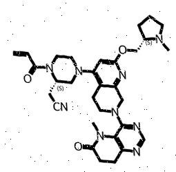 C=CC(=O)N1CCN(c2cc(OC[C@@H]3CCCN3C)nc3c2CCN(c2ncnc4c2N(C)C(=O)CC4)C3)C[C@@H]1CC#N